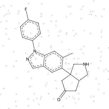 Cc1cc2c(cnn2-c2ccc(F)cc2)cc1C12CNCC1CC(=O)C2